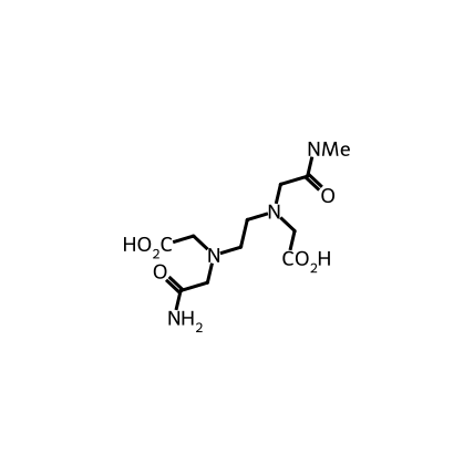 CNC(=O)CN(CCN(CC(N)=O)CC(=O)O)CC(=O)O